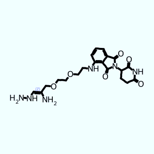 NN/C=C(\N)COCCOCCNc1cccc2c1C(=O)N(C1CCC(=O)NC1=O)C2=O